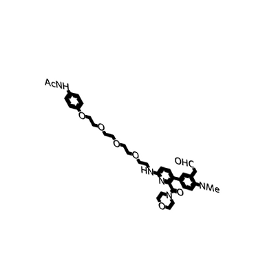 CNc1ccc(-c2ccc(NCCOCCOCCOCCOc3ccc(NC(C)=O)cc3)nc2C(=O)N2CCOCC2)cc1CC=O